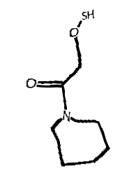 O=C(COS)N1CCCCC1